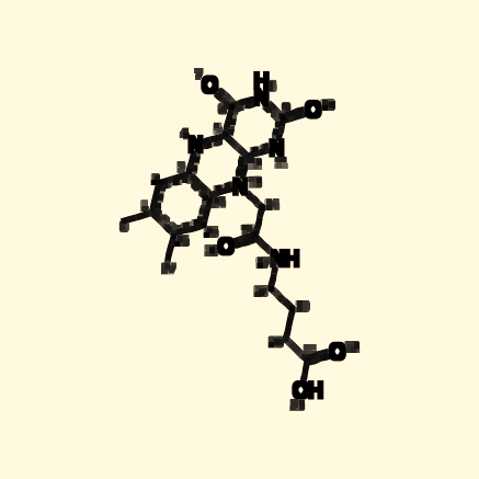 Cc1cc2nc3c(=O)[nH]c(=O)nc-3n(CC(=O)NCCCC(=O)O)c2cc1C